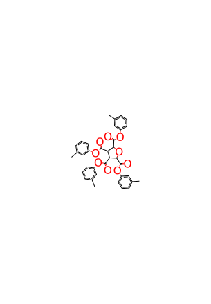 Cc1cccc(OC(=O)C2OC(C(=O)Oc3cccc(C)c3)C(C(=O)Oc3cccc(C)c3)C2C(=O)Oc2cccc(C)c2)c1